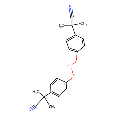 CC(C)(C#N)c1ccc(OBOc2ccc(C(C)(C)C#N)cc2)cc1